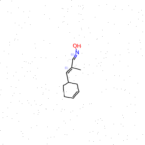 CC(/C=N/O)=C\C1CC=CCC1